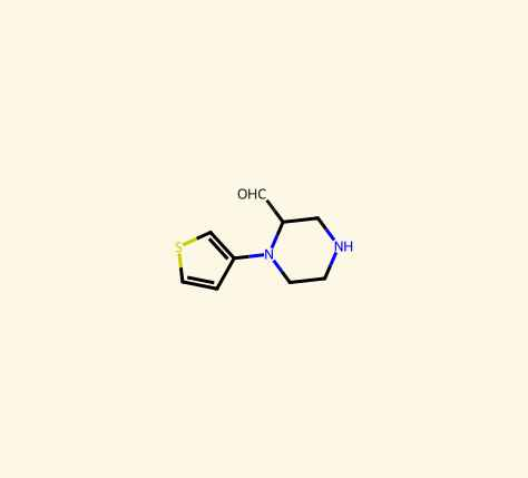 O=CC1CNCCN1c1ccsc1